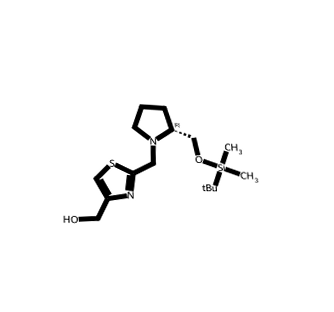 CC(C)(C)[Si](C)(C)OC[C@H]1CCCN1Cc1nc(CO)cs1